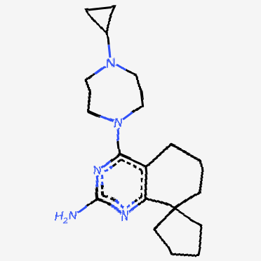 Nc1nc(N2CCN(C3CC3)CC2)c2c(n1)C1(CCCC1)CCC2